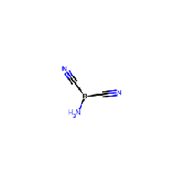 N#CB(N)C#N